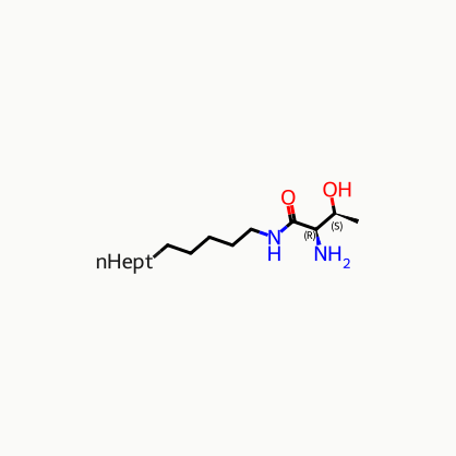 CCCCCCCCCCCCNC(=O)[C@H](N)[C@H](C)O